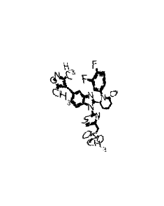 Cc1noc(C)c1-c1ccc2c(c1)nc([C@@H]1CCCC(=O)N1c1ccc(F)c(F)c1)n2-c1nc(CS(C)(=O)=O)cs1